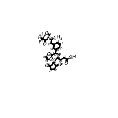 CCN(C(=O)C(F)(F)F)C(C)Cc1cccc(C(N=C(CCC(=O)O)ON2C(=O)CCC2=O)C2OC=CO2)c1